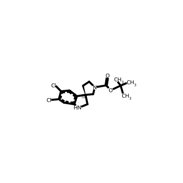 CC(C)(C)OC(=O)N1CC[C@]2(CNc3cc(Cl)c(Cl)cc32)C1